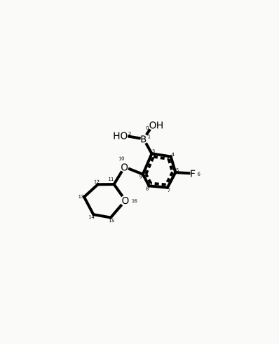 OB(O)c1cc(F)ccc1OC1CCCCO1